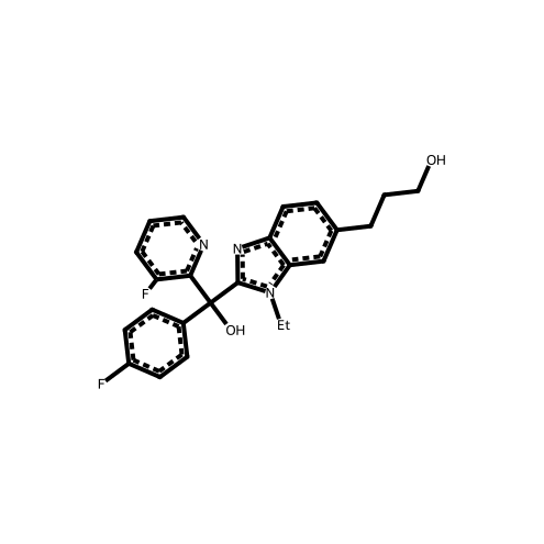 CCn1c(C(O)(c2ccc(F)cc2)c2ncccc2F)nc2ccc(CCCO)cc21